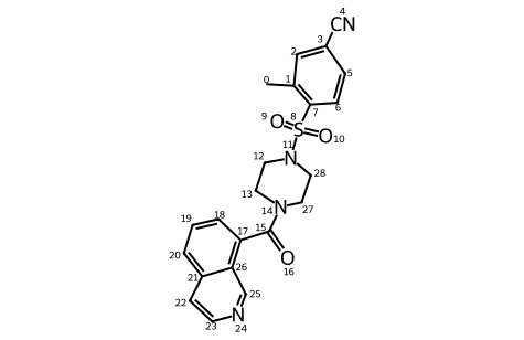 Cc1cc(C#N)ccc1S(=O)(=O)N1CCN(C(=O)c2cccc3ccncc23)CC1